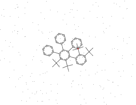 CC(C)(C)c1cccc(-c2c(-c3ccccc3)c(-c3ccccc3)c(-c3ccccc3)c(C(C)(C)C)c2C(C)(C)C)c1C(C)(C)C